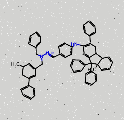 CC1C=C(CN(Cc2ccccc2)/N=C/c2ccc(NC3=C(c4ccccc4)CC4C(=C3)C(c3ccccc3)(c3ccccc3)C3(C)C=CC=CC43)cc2)C=C(c2ccccc2)C1